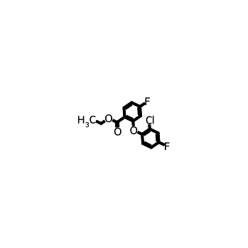 CCOC(=O)c1ccc(F)cc1Oc1ccc(F)cc1Cl